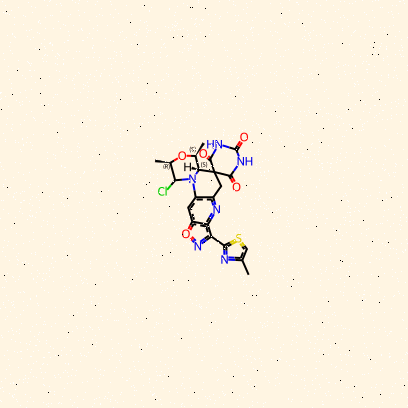 Cc1csc(-c2noc3cc4c(nc23)CC2(C(=O)NC(=O)NC2=O)[C@H]2[C@H](C)O[C@H](C)C(Cl)N42)n1